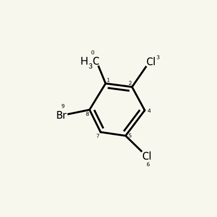 Cc1c(Cl)cc(Cl)cc1Br